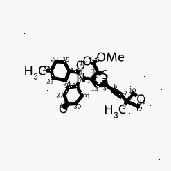 COC(=O)c1sc(C#CC2(C)COC2)cc1N(C(=O)C1CCC(C)CC1)C1CCC(=O)CC1